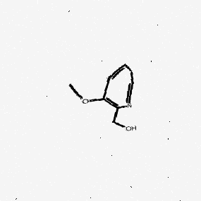 COc1[c]ccnc1CO